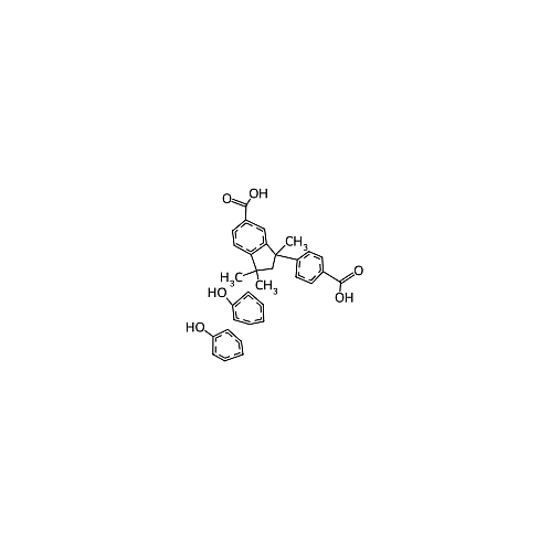 CC1(C)CC(C)(c2ccc(C(=O)O)cc2)c2cc(C(=O)O)ccc21.Oc1ccccc1.Oc1ccccc1